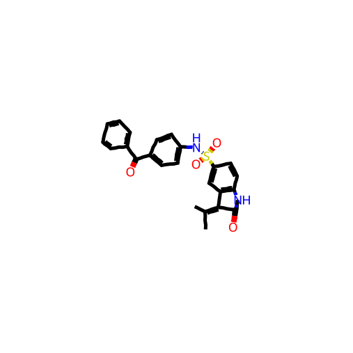 CC(C)=C1C(=O)Nc2ccc(S(=O)(=O)Nc3ccc(C(=O)c4ccccc4)cc3)cc21